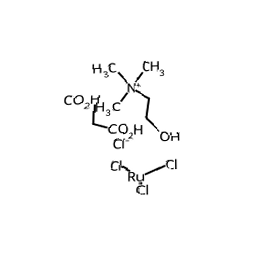 C[N+](C)(C)CCO.O=C(O)CC(=O)O.[Cl-].[Cl][Ru]([Cl])[Cl]